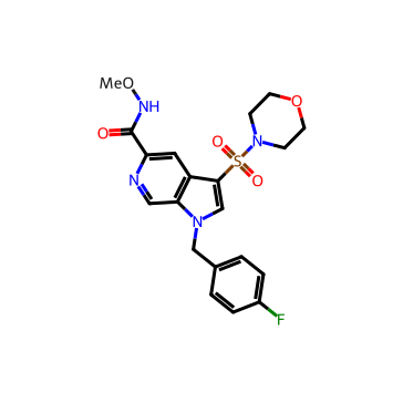 CONC(=O)c1cc2c(S(=O)(=O)N3CCOCC3)cn(Cc3ccc(F)cc3)c2cn1